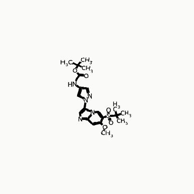 COc1cc2ncc(-n3cc(NC(=O)OC(C)(C)C)cn3)n2cc1S(=O)(=O)C(C)(C)C